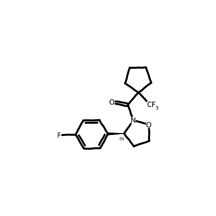 O=C(N1OCC[C@H]1c1ccc(F)cc1)C1(C(F)(F)F)CCCC1